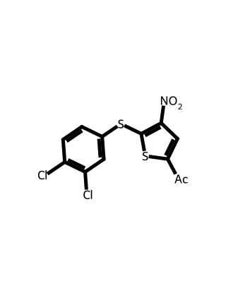 CC(=O)c1cc([N+](=O)[O-])c(Sc2ccc(Cl)c(Cl)c2)s1